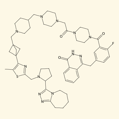 Cc1sc(CN2CCCC2c2nnc3n2CCCCC3)nc1C12CC(CN3CCC(CN4CCN(CC(=O)N5CCN(C(=O)c6cc(Cc7n[nH]c(=O)c8ccccc78)ccc6F)CC5)CC4)CC3)(C1)C2